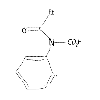 CCC(=O)N(C(=O)O)c1[c]cccc1